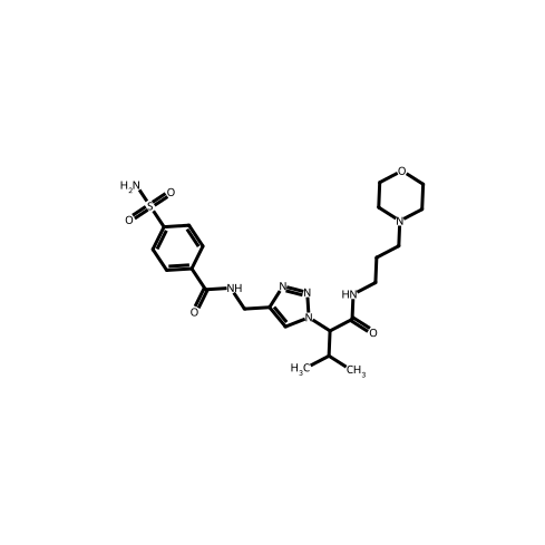 CC(C)C(C(=O)NCCCN1CCOCC1)n1cc(CNC(=O)c2ccc(S(N)(=O)=O)cc2)nn1